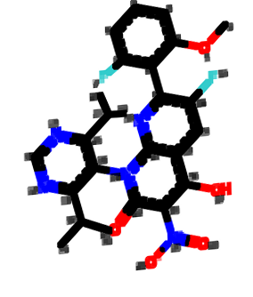 COc1cccc(F)c1-c1nc2c(cc1F)c(O)c([N+](=O)[O-])c(=O)n2-c1c(C(C)C)ncnc1C(C)C